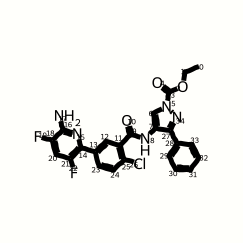 CCOC(=O)n1cc(NC(=O)c2cc(-c3nc(N)c(F)cc3F)ccc2Cl)c(-c2ccccc2)n1